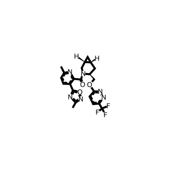 Cc1ccc(-c2nc(C)no2)c(C(=O)N2C[C@@H]3C[C@@H]3C[C@H]2COc2ccc(C(F)(F)F)nn2)n1